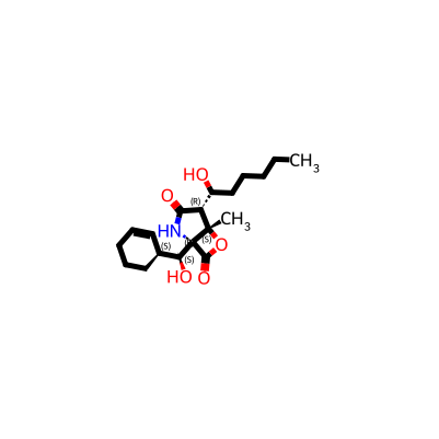 CCCCCC(O)[C@H]1C(=O)N[C@@]2([C@@H](O)[C@@H]3C=CCCC3)C(=O)O[C@@]12C